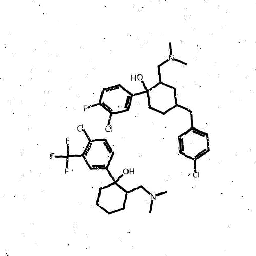 CN(C)CC1CC(Cc2ccc(Cl)cc2)CCC1(O)c1ccc(F)c(Cl)c1.CN(C)CC1CCCCC1(O)c1ccc(Cl)c(C(F)(F)F)c1